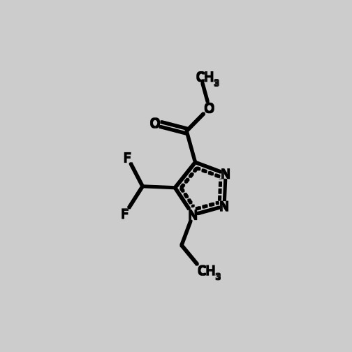 CCn1nnc(C(=O)OC)c1C(F)F